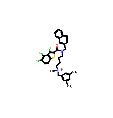 CC[N+](CC)(CCCCN(Cc1ccc2ccccc2c1)C(=O)c1sc2ccc(Cl)c(Cl)c2c1Cl)Cc1cc(C)cc(C)c1